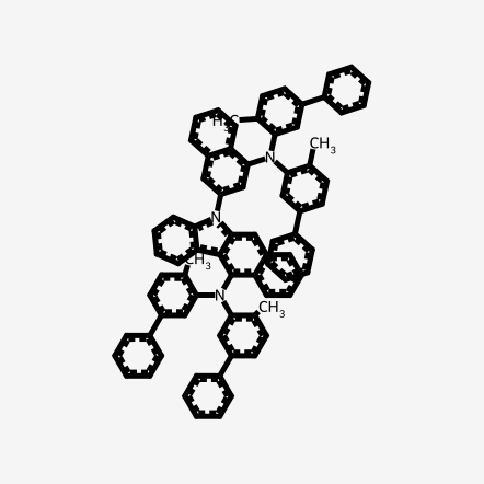 Cc1ccc(-c2ccccc2)cc1N(c1cc(-c2ccccc2)ccc1C)c1cc(-n2c3ccccc3c3c(N(c4cc(-c5ccccc5)ccc4C)c4cc(-c5ccccc5)ccc4C)c4ccccc4cc32)cc2ccccc12